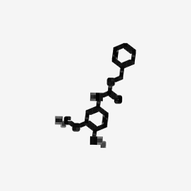 COc1cc(NC(=O)OCc2ccccc2)ccc1N